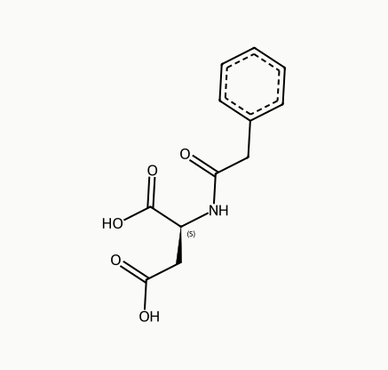 O=C(O)C[C@H](NC(=O)Cc1ccccc1)C(=O)O